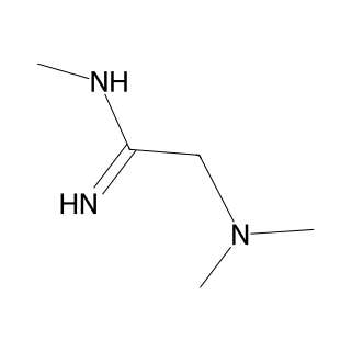 CNC(=N)CN(C)C